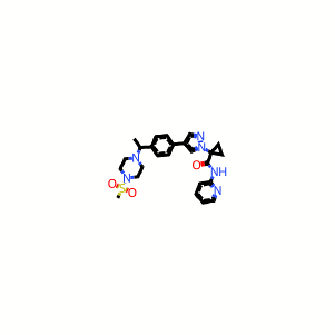 CC(c1ccc(-c2cnn(C3(C(=O)Nc4ccccn4)CC3)c2)cc1)N1CCN(S(C)(=O)=O)CC1